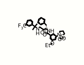 CCOc1cc(C(=O)N[C@@H](Cc2ccccc2)[C@H](O)CNC(C)(C)c2cccc(C(F)(F)F)c2)cc(N2CCCS2(=O)=O)c1